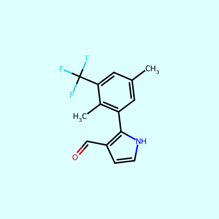 Cc1cc(-c2[nH]ccc2C=O)c(C)c(C(F)(F)F)c1